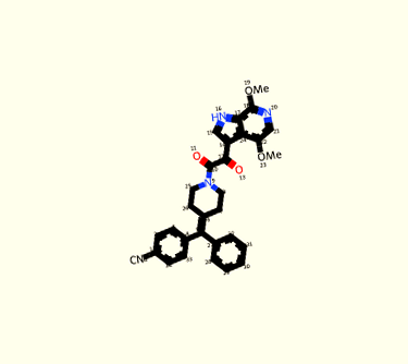 [C-]#[N+]c1ccc(C(=C2CCN(C(=O)C(=O)c3c[nH]c4c(OC)ncc(OC)c34)CC2)c2ccccc2)cc1